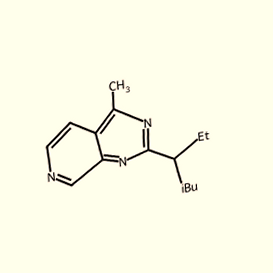 CCC(C)C(CC)c1nc(C)c2ccncc2n1